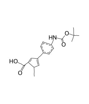 CC1C=C(c2ccc(NC(=O)OC(C)(C)C)cc2)C=C1C(=O)O